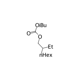 CCCCCCC(CC)COC(=O)OCC(C)C